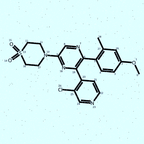 COc1ccc(-c2ncc(N3CCS(=O)(=O)CC3)nc2-c2ccncc2Cl)c(C)c1